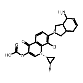 NC1C=CCC2CN(c3ccc4c(=O)c(OC(=O)O)cn([C@@H]5C[C@H]5F)c4c3Cl)CC12